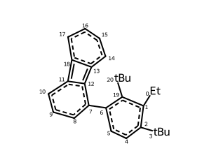 CCc1c(C(C)(C)C)ccc(-c2cccc3c2=c2ccccc2=3)c1C(C)(C)C